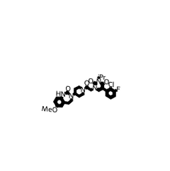 COc1ccc2c(c1)CCN(C1CCN(C(=O)Cn3cc(-c4cccc(F)c4Cl)c(=O)n(C(C)C)c3=O)CC1)C(=O)N2